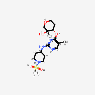 C[C@@]1(O)COCC[C@@H]1Oc1nc(NC2CCN(S(C)(=O)=O)CC2)ncc1C#N